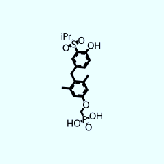 Cc1cc(OCP(=O)(O)O)cc(C)c1Cc1ccc(O)c(S(=O)(=O)C(C)C)c1